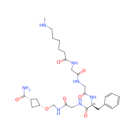 CNCCCCCC(=O)NCC(=O)NCC(=O)N[C@@H](Cc1ccccc1)C(=O)NCC(=O)NCO[C@H]1C[C@@H](C(N)=O)C1